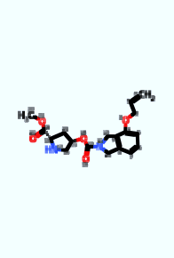 C=CCOc1cccc2c1CN(C(=O)O[C@H]1CN[C@H](C(=O)OC)C1)C2